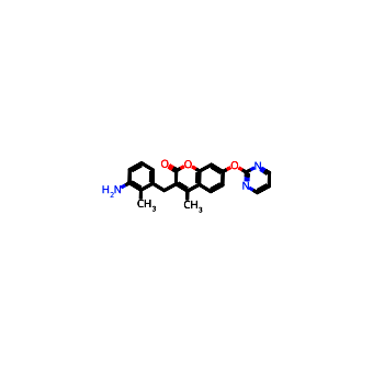 Cc1c(N)cccc1Cc1c(C)c2ccc(Oc3ncccn3)cc2oc1=O